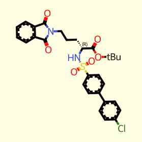 CC(C)(C)OC(=O)[C@@H](CCCN1C(=O)c2ccccc2C1=O)NS(=O)(=O)c1ccc(-c2ccc(Cl)cc2)cc1